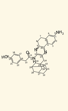 Nc1ccc2c(c1)CCc1nc(NC(=O)Cc3ccc(O)cc3)c(CC34CC5CC(CC(C5)C3)C4)nc1-2